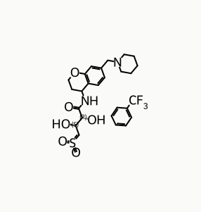 FC(F)(F)c1ccccc1.O=C(NC1CCOc2cc(CN3CCCCC3)ccc21)[C@H](O)[C@H](O)C=S(=O)=O